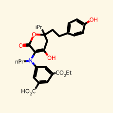 CCCN(C1=C(O)CC(CCc2ccc(O)cc2)(C(C)C)OC1=O)c1cc(C(=O)O)cc(C(=O)OCC)c1